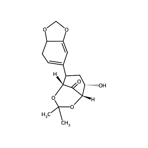 CC1(C)O[C@@H]2C(=O)[C@H](O1)C(C1=CCC3OCOC3=C1)C[C@@H]2O